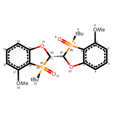 COc1cccc2c1[P@](=O)(C(C)(C)C)C([C@H]1Oc3cccc(OC)c3[P@]1(=O)C(C)(C)C)O2